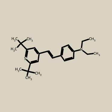 CCN(CC)c1ccc(C=Cc2cc(C(C)(C)C)[s+]c(C(C)(C)C)c2)cc1